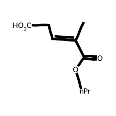 CCCOC(=O)C(C)=CCC(=O)O